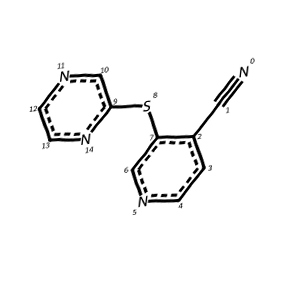 N#Cc1ccncc1Sc1cnccn1